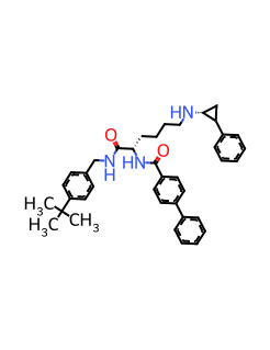 CC(C)(C)c1ccc(CNC(=O)[C@H](CCCCN[C@@H]2CC2c2ccccc2)NC(=O)c2ccc(-c3ccccc3)cc2)cc1